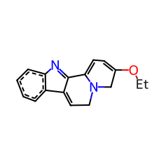 CCOC1=CC=C2C3=Nc4ccccc4C3=CCN2C1